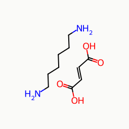 NCCCCCCN.O=C(O)C=CC(=O)O